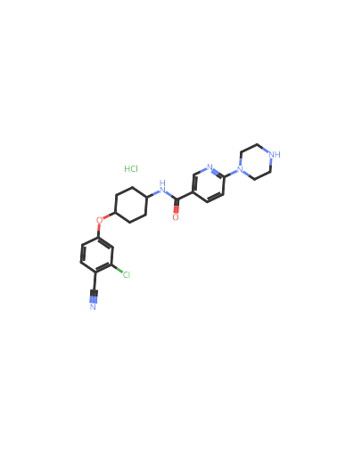 Cl.N#Cc1ccc(OC2CCC(NC(=O)c3ccc(N4CCNCC4)nc3)CC2)cc1Cl